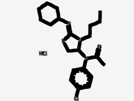 CCCCN1C(=NC2CCCCC2)SCC1N(C(C)=O)c1ccc(Cl)cc1.Cl